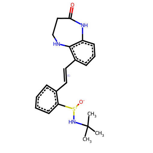 CC(C)(C)N[S+]([O-])c1ccccc1/C=C/c1cccc2c1NCCC(=O)N2